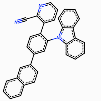 N#Cc1ncccc1-c1ccc(-c2ccc3ccccc3c2)cc1-n1c2ccccc2c2ccccc21